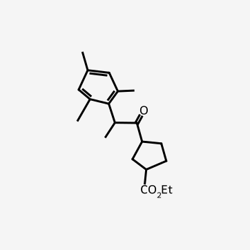 CCOC(=O)C1CCC(C(=O)C(C)c2c(C)cc(C)cc2C)C1